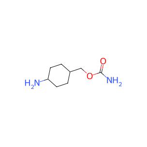 NC(=O)OCC1CCC(N)CC1